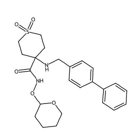 O=C(NOC1CCCCO1)C1(NCc2ccc(-c3ccccc3)cc2)CCS(=O)(=O)CC1